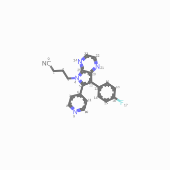 N#CCCCn1c(-c2ccncc2)c(-c2ccc(F)cc2)c2nccnc21